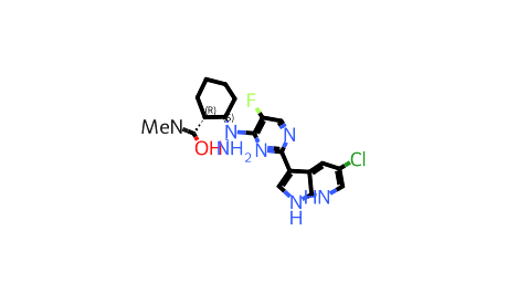 CNC(O)[C@@H]1CCCC[C@@H]1N(N)c1nc(C2=CNC3NC=C(Cl)C=C23)ncc1F